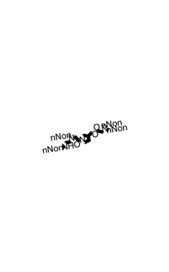 CCCCCCCCCNCCN(CCCCCCCCC)CC(=O)N1CCC(COC(=O)CN(CCCCCCCCC)CCCCCCCCC)C1